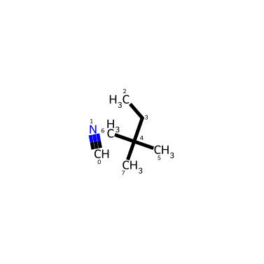 C#N.CCC(C)(C)C